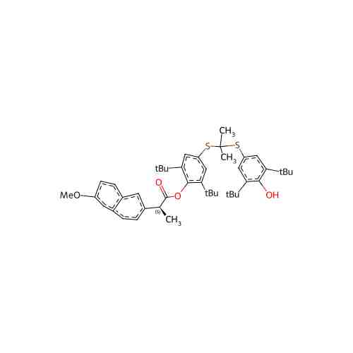 COc1ccc2cc([C@H](C)C(=O)Oc3c(C(C)(C)C)cc(SC(C)(C)Sc4cc(C(C)(C)C)c(O)c(C(C)(C)C)c4)cc3C(C)(C)C)ccc2c1